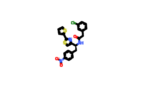 O=C(Cc1cccc(Cl)c1)N[C@@H](Cc1ccc([N+](=O)[O-])cc1)c1csc(-c2cccs2)n1